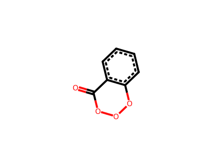 O=C1OOOc2ccccc21